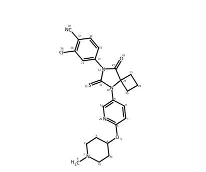 CN1CCC(Oc2ccc(N3C(=S)N(c4ccc(C#N)c(Cl)c4)C(=O)C34CCC4)cn2)CC1